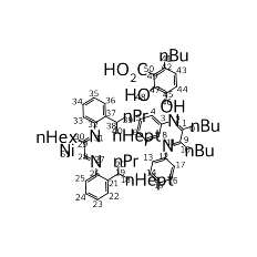 CCCCC(=Nc1ccccc1)C(CCCC)=Nc1ccccc1.CCCCCCCC(CCC)c1ccccc1N=CC(CCCCCC)=Nc1ccccc1C(CCC)CCCCCCC.CCCCc1ccc(O)c(O)c1C(=O)O.[Ni]